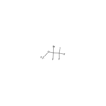 FC(F)(F)OC(F)(Br)C(F)(F)I